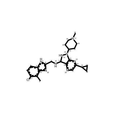 Cc1c(Cl)ccc2[nH]c(CNC3NN(C4CCN(C)CC4)c4nc(C5CC5)cnc43)nc12